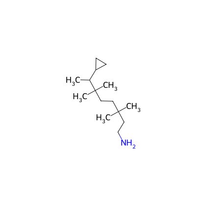 CC(C1CC1)C(C)(C)CCC(C)(C)CCN